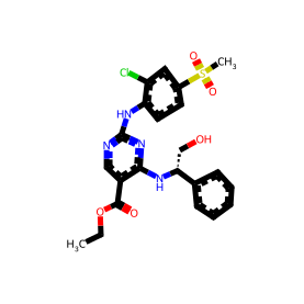 CCOC(=O)c1cnc(Nc2ccc(S(C)(=O)=O)cc2Cl)nc1N[C@H](CO)c1ccccc1